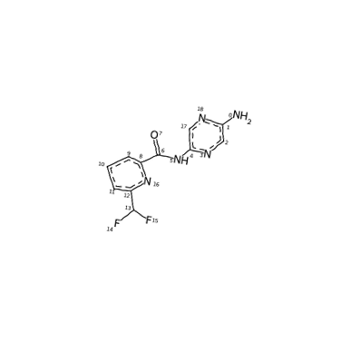 Nc1cnc(NC(=O)c2cccc(C(F)F)n2)cn1